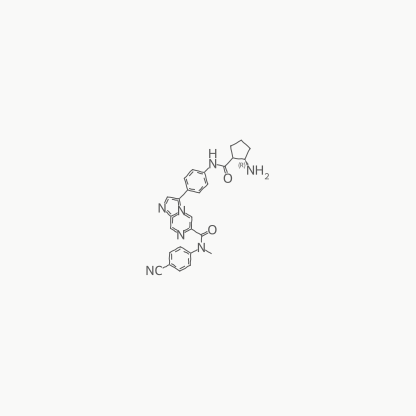 CN(C(=O)c1cn2c(-c3ccc(NC(=O)C4CCC[C@H]4N)cc3)cnc2cn1)c1ccc(C#N)cc1